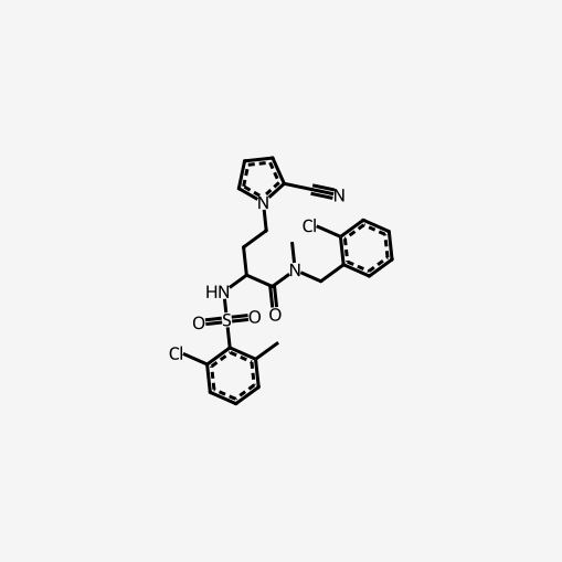 Cc1cccc(Cl)c1S(=O)(=O)NC(CCn1cccc1C#N)C(=O)N(C)Cc1ccccc1Cl